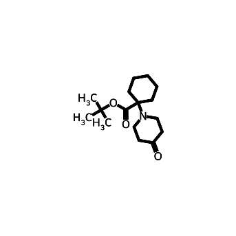 CC(C)(C)OC(=O)C1(N2CCC(=O)CC2)CCCCC1